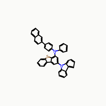 c1ccc(N(c2ccc(-c3ccc4ccccc4c3)cc2)c2cc(-n3c4ccccc4c4ccccc43)cc3c2sc2ccccc23)cc1